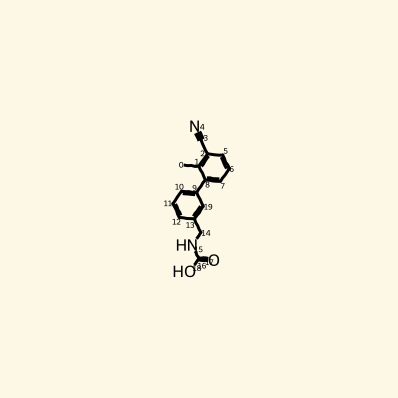 Cc1c(C#N)cccc1-c1cccc(CNC(=O)O)c1